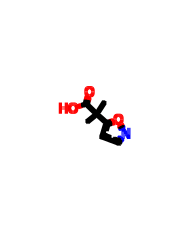 CC(C)(C(=O)O)c1ccno1